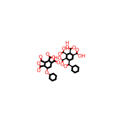 O=C(O)c1cc(C(=O)c2ccccc2)c(C(=O)O)c(C(=O)O)c1C(=O)O.O=c1oc(=O)c2c1cc(Oc1ccccc1)c1c(=O)oc(=O)c12